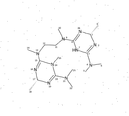 C[C@@H]1N=C(N(C)C)NC(N(C)CCN(C)C2=N[C@@H](C)N=C(N(C)C)N2C)=N1